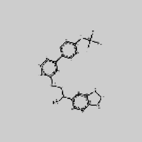 OC(CNc1cc(-c2ccc(OC(F)(F)F)cc2)ncn1)c1ccc2c(c1)OCO2